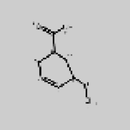 CCC1C=CCC(C(=O)O)C1